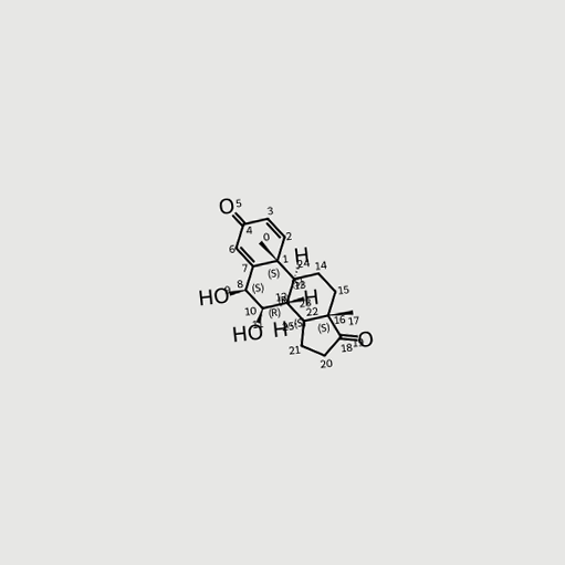 C[C@]12C=CC(=O)C=C1[C@H](O)[C@H](O)[C@@H]1[C@@H]2CC[C@]2(C)C(=O)CC[C@@H]12